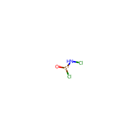 [O-][S+](Cl)NCl